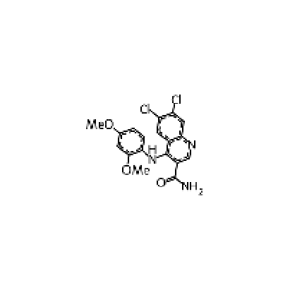 COc1ccc(Nc2c(C(N)=O)cnc3cc(Cl)c(Cl)cc23)c(OC)c1